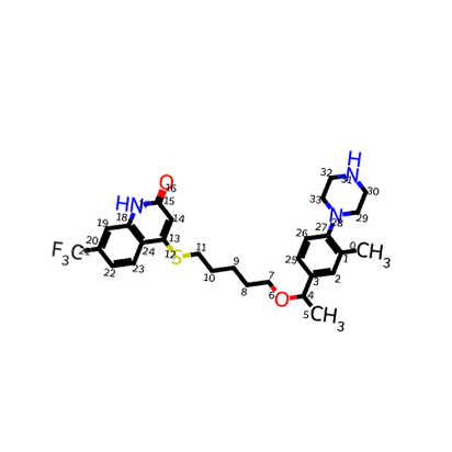 Cc1cc(C(C)OCCCCCSc2cc(=O)[nH]c3cc(C(F)(F)F)ccc23)ccc1N1CCNCC1